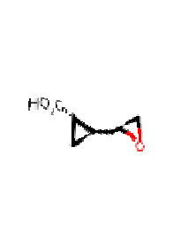 O=C(O)[C@H]1C[C@@H]1[C@H]1CO1